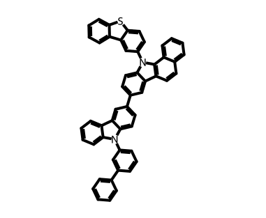 c1ccc(-c2cccc(-n3c4ccccc4c4cc(-c5ccc6c(c5)c5ccc7ccccc7c5n6-c5ccc6sc7ccccc7c6c5)ccc43)c2)cc1